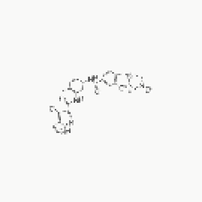 CCN1CCN(Cc2ccc(C(=O)Nc3ccc(C)c(NC(=O)c4cnc5[nH]ccc5c4Cl)c3)cc2C(F)(F)F)CC1